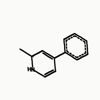 C[C]1C=C(c2ccccc2)C=CN1